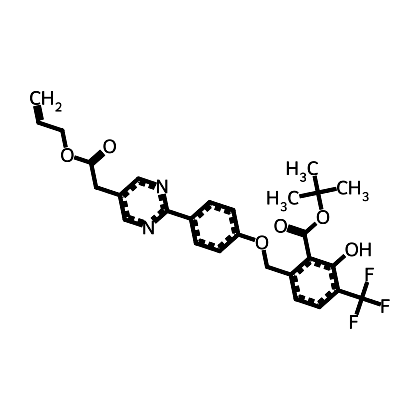 C=CCOC(=O)Cc1cnc(-c2ccc(OCc3ccc(C(F)(F)F)c(O)c3C(=O)OC(C)(C)C)cc2)nc1